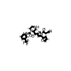 N#CCC(=O)n1nc(C(=O)C2CNCCN2C(=O)Nc2cccc(C(F)(F)F)c2)cc1-c1ccco1